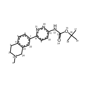 CN1CCc2ccc(-c3ccc(NC(=O)OC(C)(C)C)nn3)cc2C1